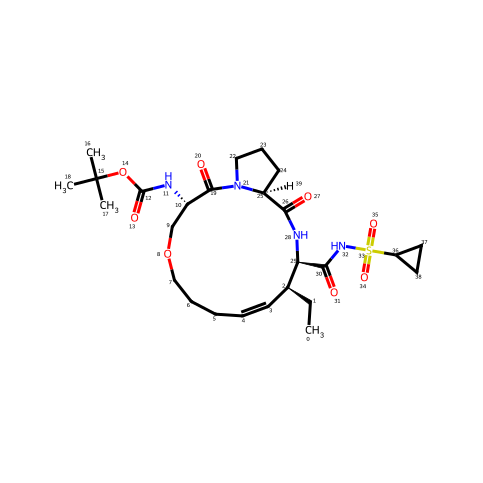 CC[C@H]1/C=C\CCCOC[C@H](NC(=O)OC(C)(C)C)C(=O)N2CCC[C@H]2C(=O)N[C@H]1C(=O)NS(=O)(=O)C1CC1